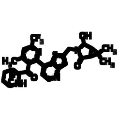 Cc1cc(C(F)(F)F)nc(-c2ccnc3cc(CN4C(=O)C5C(C4O)C5(C)C)sc23)c1C(=O)N1CC2CCC1CN2